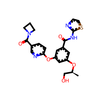 C[C@@H](CO)Oc1cc(Oc2ccc(C(=O)N3CCC3)cn2)cc(C(=O)Nc2nccs2)c1